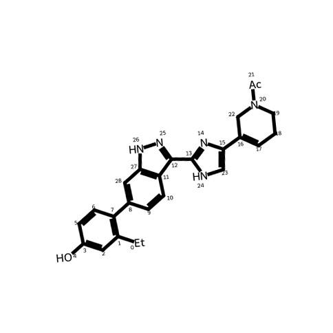 CCc1cc(O)ccc1-c1ccc2c(-c3nc(C4=CCCN(C(C)=O)C4)c[nH]3)n[nH]c2c1